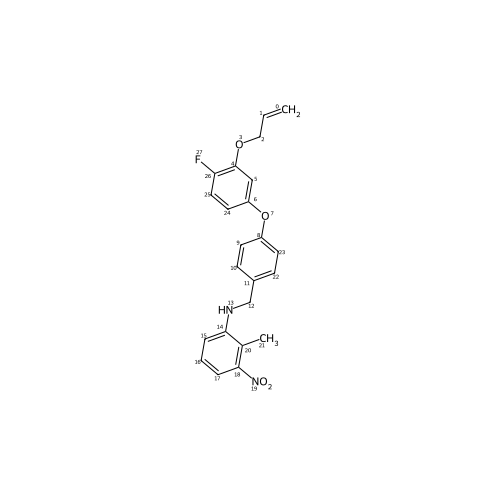 C=CCOc1cc(Oc2ccc(CNc3cccc([N+](=O)[O-])c3C)cc2)ccc1F